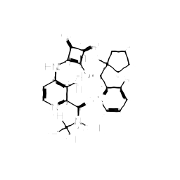 [2H]C([2H])([2H])N(C)C(=O)c1nccc(Nc2c(N[C@@H](c3ncccc3C)C3(C)CCCC3)c(=O)c2=O)c1O